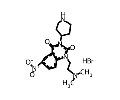 Br.CN(C)CCn1c(=O)n(C2CCNCC2)c(=O)c2cc([N+](=O)[O-])ccc21